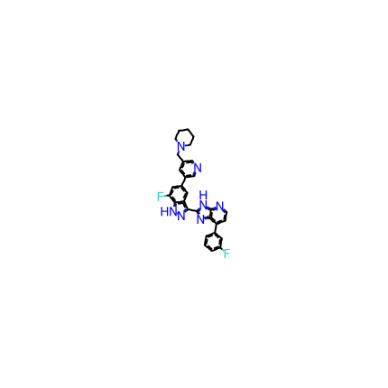 Fc1cccc(-c2ccnc3[nH]c(-c4n[nH]c5c(F)cc(-c6cncc(CN7CCCCC7)c6)cc45)nc23)c1